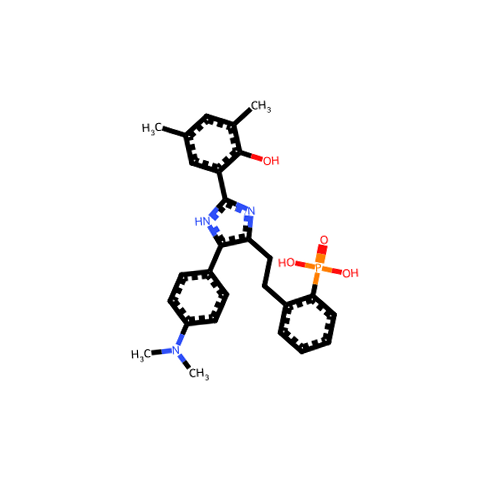 Cc1cc(C)c(O)c(-c2nc(CCc3ccccc3P(=O)(O)O)c(-c3ccc(N(C)C)cc3)[nH]2)c1